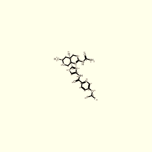 C[C@H]1C[C@H]2CSC(NC(N)=O)=N[C@@]2(c2nc(NC(=O)c3ccc(OC(F)F)cn3)cs2)CO1